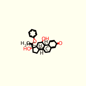 C=C(Oc1ccccc1)[C@@]1(O)CC[C@H]2[C@@H]3CCC4=CC(=O)C=C[C@]4(C)[C@H]3C(O)C[C@@]21C